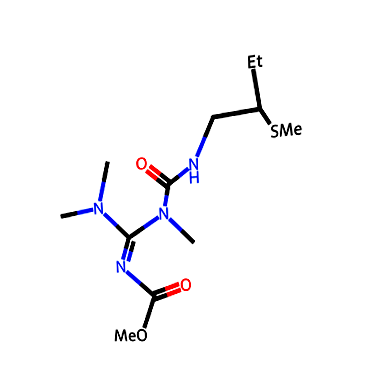 CCC(CNC(=O)N(C)/C(=N\C(=O)OC)N(C)C)SC